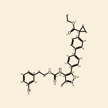 CCOC(=O)C1(c2ccc(-c3ccc(-c4onc(C)c4NC(=O)OCCc4cccc(Br)c4)cc3)cc2)CC1